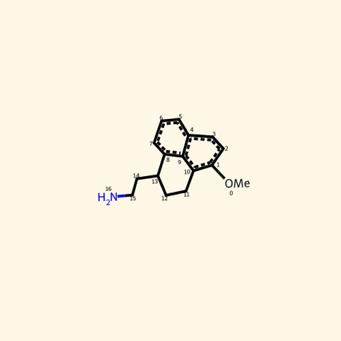 COc1ccc2cccc3c2c1CCC3CCN